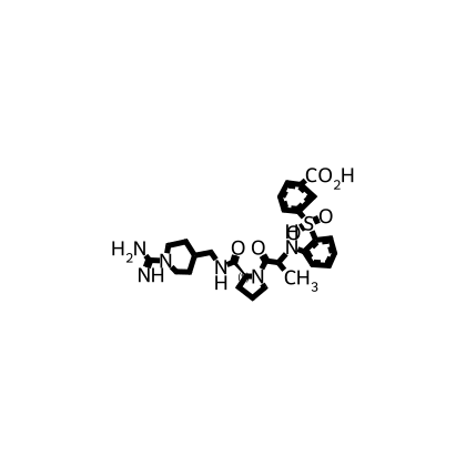 CC(Nc1ccccc1S(=O)(=O)c1cccc(C(=O)O)c1)C(=O)N1CCC[C@H]1C(=O)NCC1CCN(C(=N)N)CC1